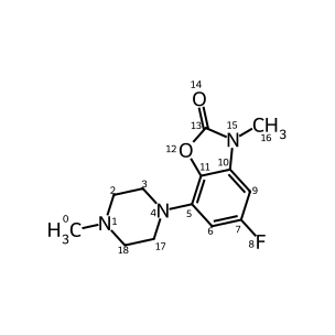 CN1CCN(c2cc(F)cc3c2oc(=O)n3C)CC1